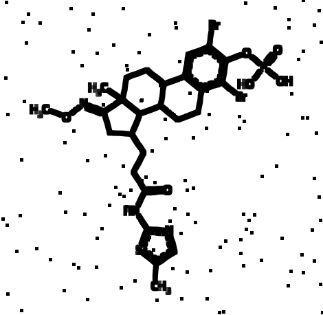 CON=C1CC(CCC(=O)Nc2ncc(C)s2)C2C3CCc4c(cc(Br)c(OP(=O)(O)O)c4Br)C3CCC12C